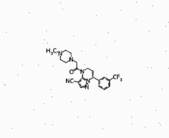 CN1CCN(CC(=O)N2CC=C(c3cccc(C(F)(F)F)c3)n3ncc(C#N)c32)CC1